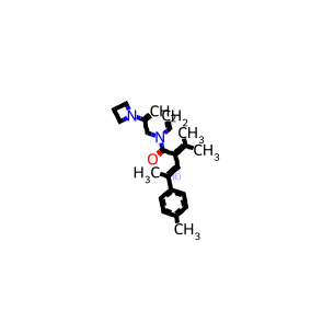 C=CN(CC(=C)N1CCC1)C(=O)C(/C=C(\C)c1ccc(C)cc1)=C(C)C